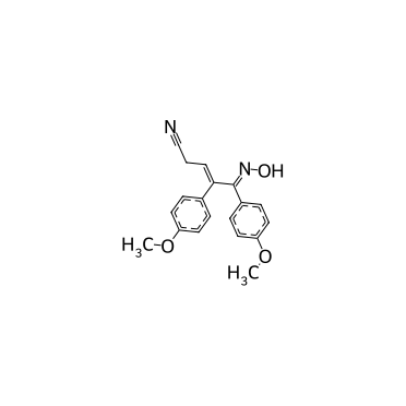 COc1ccc(C(=C\CC#N)/C(=N/O)c2ccc(OC)cc2)cc1